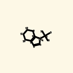 CC(C)(C)n1ccc2c1CCCC2